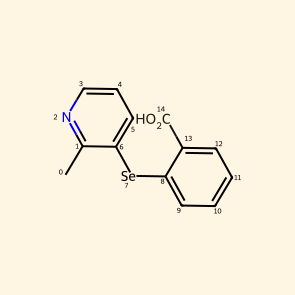 Cc1ncccc1[Se]c1ccccc1C(=O)O